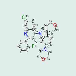 Cc1c(-c2ccccc2F)nc2cc(Cl)ccc2c1N1CC2(CCOCC2)c2ccc(N3CCOCC3)cc21